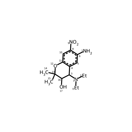 CCN(CC)C1c2cc(N)c([N+](=O)[O-])cc2OC(C)(C)C1O